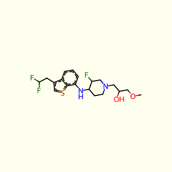 COCC(O)CN1CCC(Nc2cccc3c(CC(F)F)csc23)C(F)C1